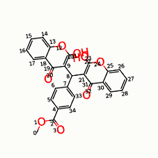 COC(=O)c1ccc(C(c2c(O)oc3ccccc3c2=O)c2c(O)oc3ccccc3c2=O)cc1